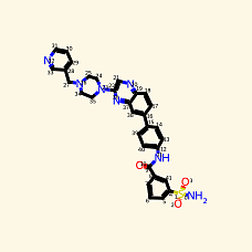 NS(=O)(=O)c1cccc(C(=O)Nc2ccc(-c3ccc4ncc(N5CCN(Cc6cccnc6)CC5)nc4c3)cc2)c1